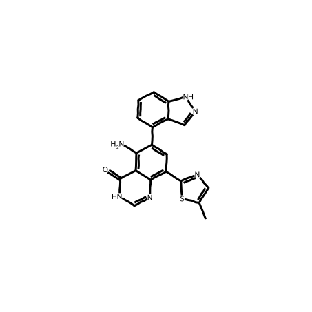 Cc1cnc(-c2cc(-c3cccc4[nH]ncc34)c(N)c3c(=O)[nH]cnc23)s1